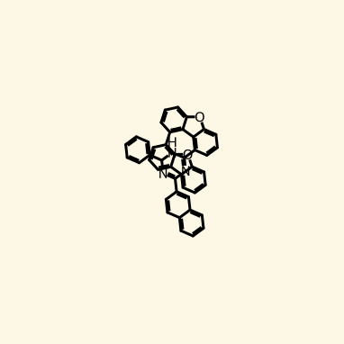 c1ccc(C2N=C(c3ccc4ccccc4c3)N=C(c3cccc4oc5cccc(-c6cccc7c6oc6ccccc67)c5c34)N2)cc1